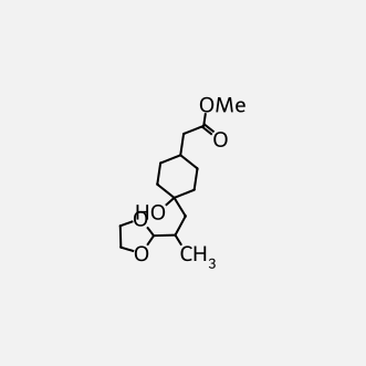 COC(=O)CC1CCC(O)(CC(C)C2OCCO2)CC1